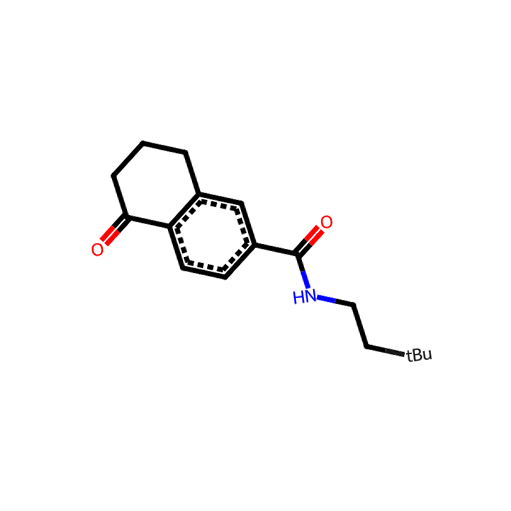 CC(C)(C)CCNC(=O)c1ccc2c(c1)CCCC2=O